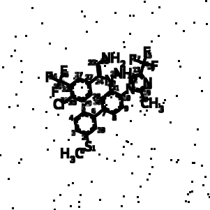 CSc1cccc(-c2ccc(-n3cc(C(F)(F)F)nc3C)c(N(N)/C(=C\N)c3ccc(Cl)c(C(F)(F)F)c3)c2)c1